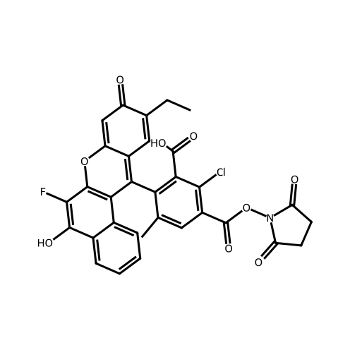 CCc1cc2c(-c3c(C)cc(C(=O)ON4C(=O)CCC4=O)c(Cl)c3C(=O)O)c3c(oc-2cc1=O)c(F)c(O)c1ccccc13